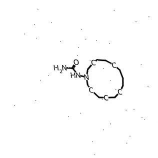 NC(=O)NN1CCCCCCCCCCCCCC1